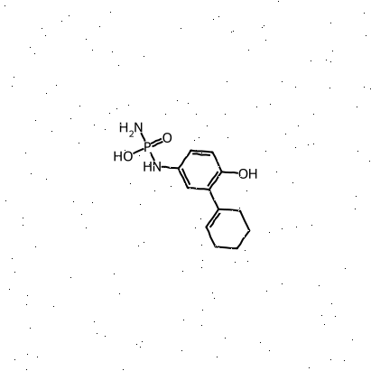 NP(=O)(O)Nc1ccc(O)c(C2=CCCCC2)c1